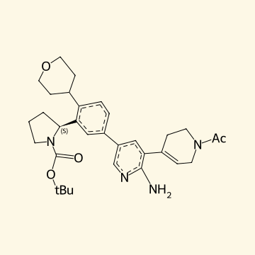 CC(=O)N1CC=C(c2cc(-c3ccc(C4CCOCC4)c([C@@H]4CCCN4C(=O)OC(C)(C)C)c3)cnc2N)CC1